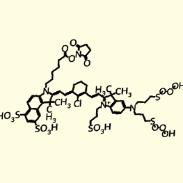 CC1(C)C(/C=C/C2=C(Cl)C(=C/C=C3/N(CCCCCC(=O)ON4C(=O)CCC4=O)c4ccc5c(S(=O)(=O)O)cc(S(=O)(=O)O)cc5c4C3(C)C)/CCC2)=[N+](CCCS(=O)(=O)O)c2ccc(N(CCCSOOO)CCCSOOO)cc21